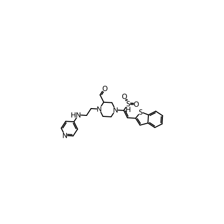 O=CC1CN(C(=Cc2cc3ccccc3s2)[SH](=O)=O)CCN1CCNc1ccncc1